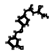 CN(CC(N)=O)Cc1ccc(OCc2cccc(Cl)c2)cc1